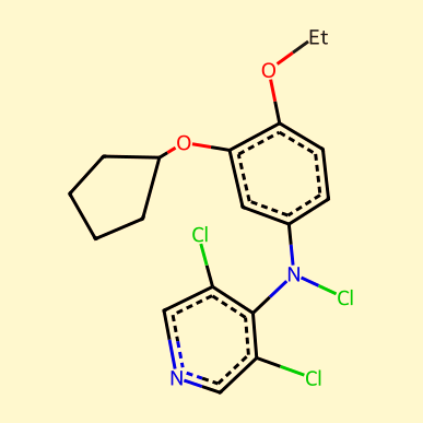 CCOc1ccc(N(Cl)c2c(Cl)cncc2Cl)cc1OC1CCCC1